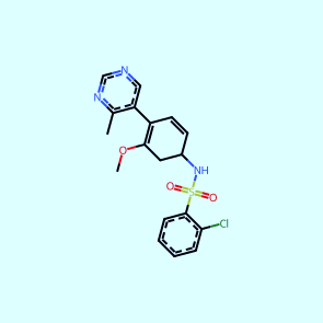 COC1=C(c2cncnc2C)C=CC(NS(=O)(=O)c2ccccc2Cl)C1